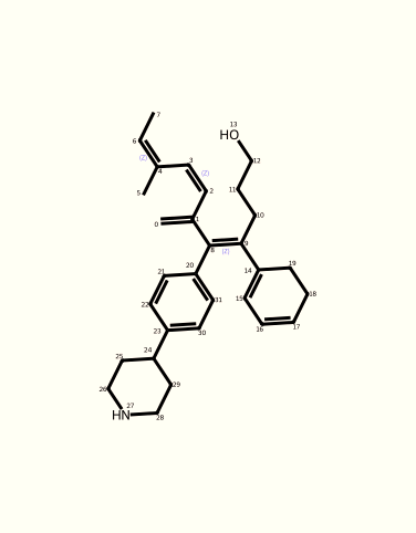 C=C(/C=C\C(C)=C/C)/C(=C(\CCCO)C1=CC=CCC1)c1ccc(C2CCNCC2)cc1